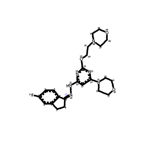 Fc1ccc2c(c1)CC/C2=N/Nc1cc(N2CCOCC2)nc(OCCN2CCOCC2)n1